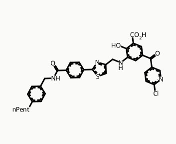 CCCCCc1ccc(CNC(=O)c2ccc(-c3nc(CNc4cc(C(=O)c5ccc(Cl)nc5)cc(C(=O)O)c4O)cs3)cc2)cc1